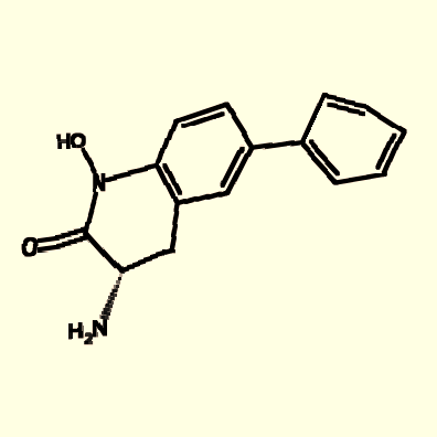 N[C@H]1Cc2cc(-c3ccccc3)ccc2N(O)C1=O